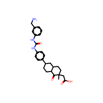 CC1(CC(=O)O)CCC2CC(c3ccc(NC(=O)Nc4cccc(CN)c4)cc3)CCC2C1=O